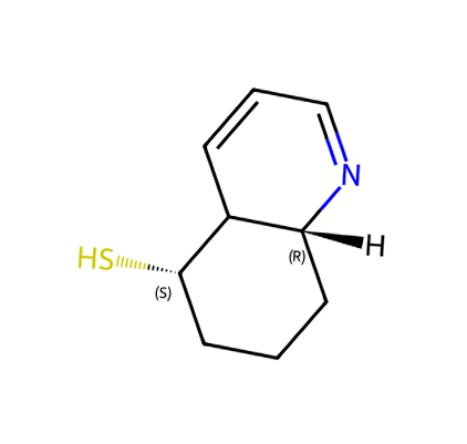 S[C@H]1CCC[C@H]2N=CC=CC12